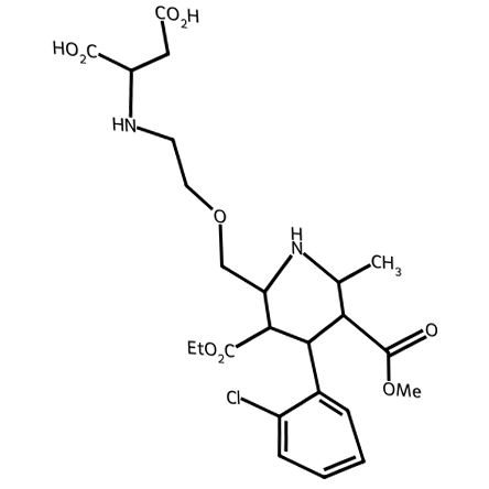 CCOC(=O)C1C(COCCNC(CC(=O)O)C(=O)O)NC(C)C(C(=O)OC)C1c1ccccc1Cl